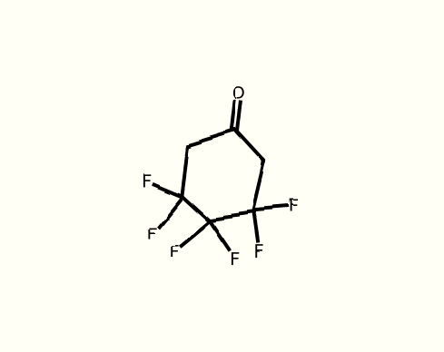 O=C1CC(F)(F)C(F)(F)C(F)(F)C1